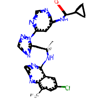 C[C@H](Nc1ncnc2c(C(F)(F)F)cc(Cl)cc12)c1ncnn1-c1cc(NC(=O)C2CC2)ncn1